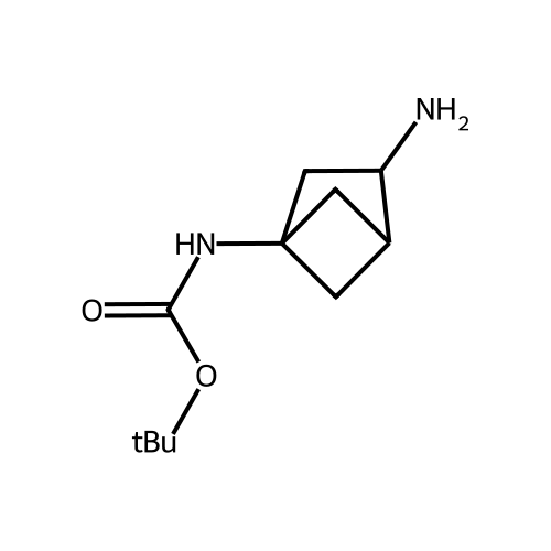 CC(C)(C)OC(=O)NC12CC(N)C(C1)C2